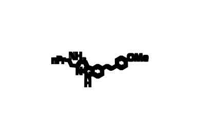 CCCC(N)Cc1ccc2c(n1)[nH]c1ccc(C=Cc3ccc(OC)cc3)cc12